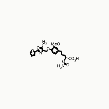 COc1cc(CCC[C@H](OC(N)=O)C(=O)O)ccc1OCc1nc(-c2ccco2)oc1C